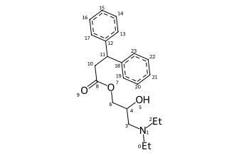 CCN(CC)CC(O)COC(=O)CC(c1ccccc1)c1ccccc1